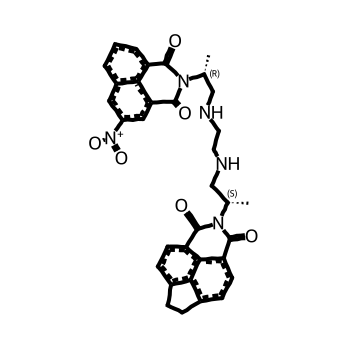 C[C@H](CNCCNC[C@H](C)N1C(=O)c2ccc3c4c(ccc(c24)C1=O)CC3)N1C(=O)c2cccc3cc([N+](=O)[O-])cc(c23)C1=O